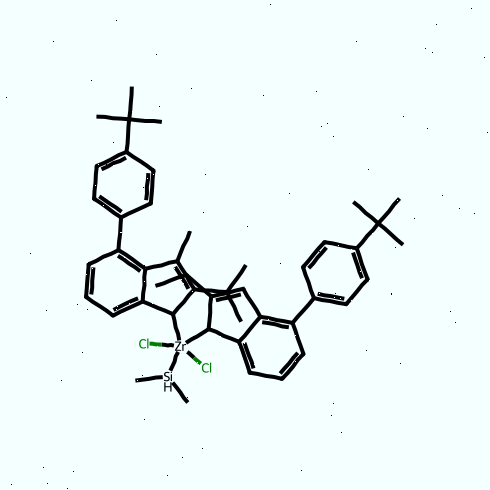 CCC1=Cc2c(-c3ccc(C(C)(C)C)cc3)cccc2[CH]1[Zr]([Cl])([Cl])([CH]1C(C(C)C)=C(C)c2c(-c3ccc(C(C)(C)C)cc3)cccc21)[SiH](C)C